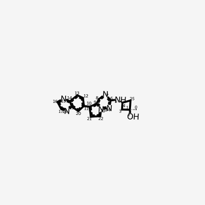 C[C@]1(O)C[C@@H](Nc2ncc3c(-c4ccc5nccnc5c4)ccn3n2)C1